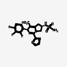 NS(=O)(=O)N[C@H]1CC2=C(C(=O)O)[C@H](c3ccc(F)c(F)c3F)N=C(c3nccs3)N2C1